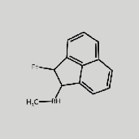 CBC1c2cccc3cccc(c23)C1CC